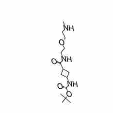 CNCCOCCNC(=O)C1CC(NC(=O)OC(C)(C)C)C1